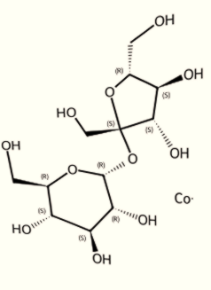 OC[C@H]1O[C@@](CO)(O[C@H]2O[C@H](CO)[C@@H](O)[C@H](O)[C@H]2O)[C@@H](O)[C@@H]1O.[Co]